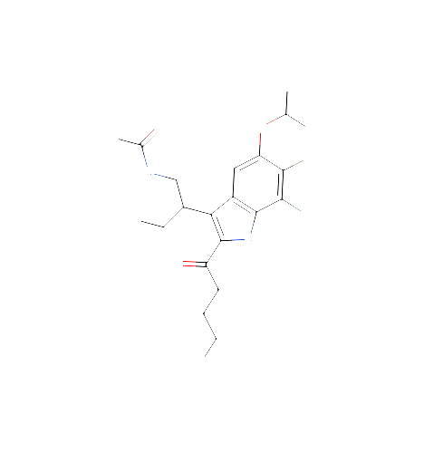 CCCCC(=O)c1[nH]c2c(Cl)c(Cl)c(OC(C)C)cc2c1C(CC)CNC(C)=O